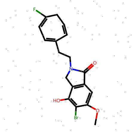 COc1cc2c(c(O)c1Br)CN(CCC1=CC=C(F)CC=C1)C2=O